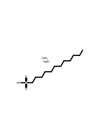 CCCCCCCCCCCCS(=O)(=O)O.[CaH2].[NaH]